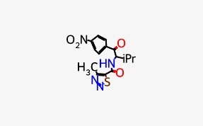 Cc1nnsc1C(=O)NC(C(=O)c1ccc([N+](=O)[O-])cc1)C(C)C